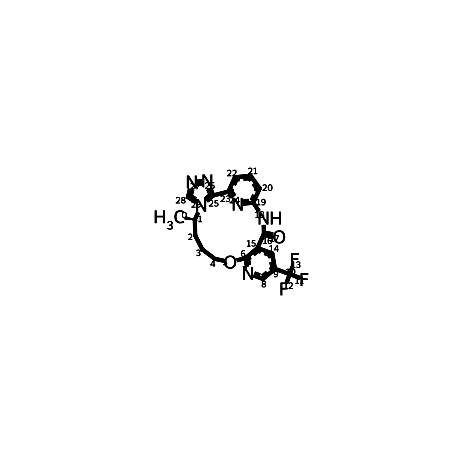 C[C@@H]1CCCOc2ncc(C(F)(F)F)cc2C(=O)Nc2cccc(n2)-c2nncn21